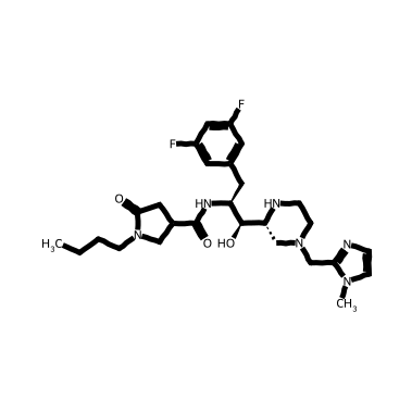 CCCCN1CC(C(=O)N[C@@H](Cc2cc(F)cc(F)c2)[C@H](O)[C@H]2CN(Cc3nccn3C)CCN2)CC1=O